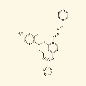 Cc1ccccc1C(CCC(=O)O)Oc1cc(OCc2ccsc2)ccc1C=NOCc1ccccc1.O